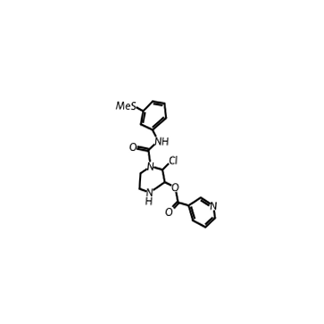 CSc1cccc(NC(=O)N2CCNC(OC(=O)c3cccnc3)C2Cl)c1